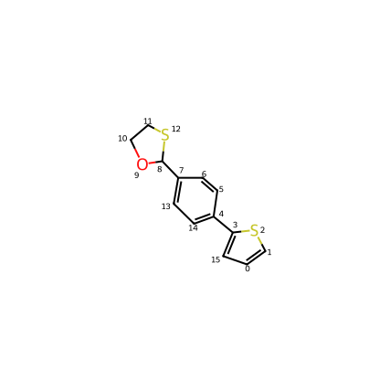 c1csc(-c2ccc(C3OCCS3)cc2)c1